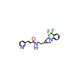 O=C(/C=C/c1cccnc1)NCCC1C2CN(c3ccccc3C(F)(F)F)CC12